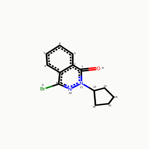 O=c1c2ccccc2c(Br)nn1C1CCCC1